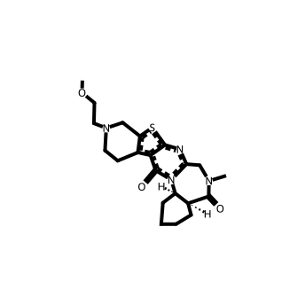 COCCN1CCc2c(sc3nc4n(c(=O)c23)[C@@H]2CCCC[C@@H]2C(=O)N(C)C4)C1